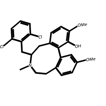 COc1ccc2c(c1)-c1c(ccc(OC)c1O)CC(Cc1c(Cl)cccc1Cl)N(C)CC2